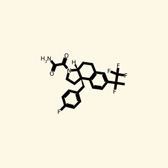 CC(F)(c1ccc2c(c1)CC[C@H]1N(C(=O)C(N)=O)CC[C@@]21Cc1ccc(F)cc1)C(F)(F)F